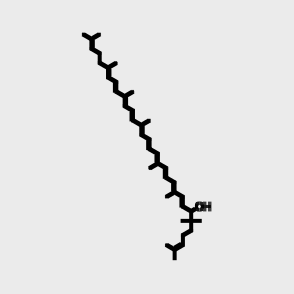 CC(C)=CCC/C(C)=C/C=C/C(C)=C/C=C/C(C)=C/C=C/C=C(C)/C=C/C=C(C)/C=C/C(O)C(C)(C)CCC=C(C)C